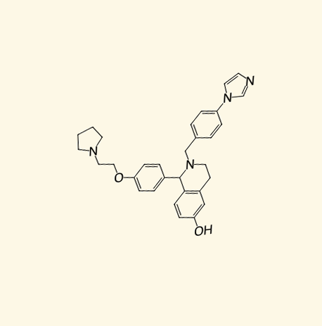 Oc1ccc2c(c1)CCN(Cc1ccc(-n3ccnc3)cc1)C2c1ccc(OCCN2CCCC2)cc1